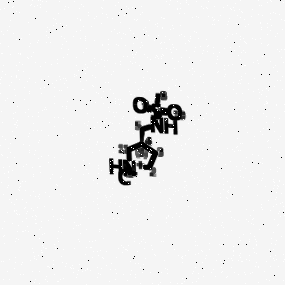 [CH2-][NH+]1CC[C@H](CNS(C)(=O)=O)C1